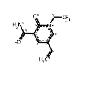 C=Cc1cc(C(N)=O)c(=O)n(CC(F)(F)F)c1